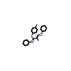 CC(=C\Oc1ccccc1)/C(=N/c1ccccc1)Sc1ccc(C)cc1